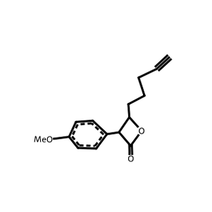 C#CCCCC1OC(=O)C1c1ccc(OC)cc1